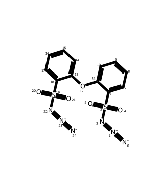 [N-]=[N+]=NS(=O)(=O)c1ccccc1Oc1ccccc1S(=O)(=O)N=[N+]=[N-]